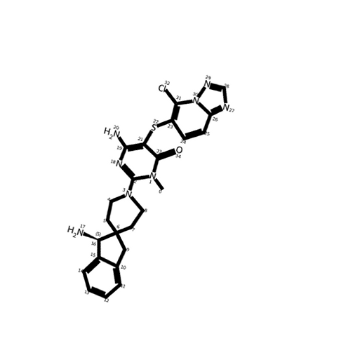 Cn1c(N2CCC3(CC2)Cc2ccccc2[C@H]3N)nc(N)c(Sc2ccc3ncnn3c2Cl)c1=O